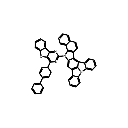 C1=CC(c2nc(-n3c4cc5c6ccccc6n6c7ccccc7c(c4c4ccc7ccccc7c43)c56)nc3c2oc2ccccc23)CC=C1c1ccccc1